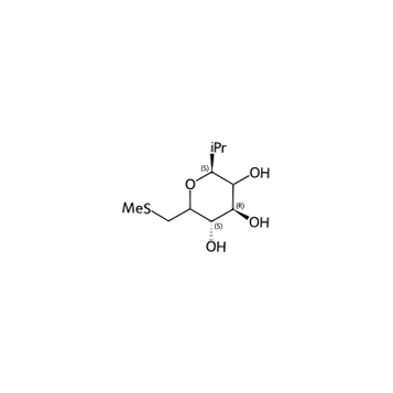 CSCC1O[C@@H](C(C)C)C(O)[C@@H](O)[C@@H]1O